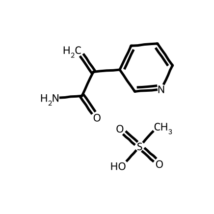 C=C(C(N)=O)c1cccnc1.CS(=O)(=O)O